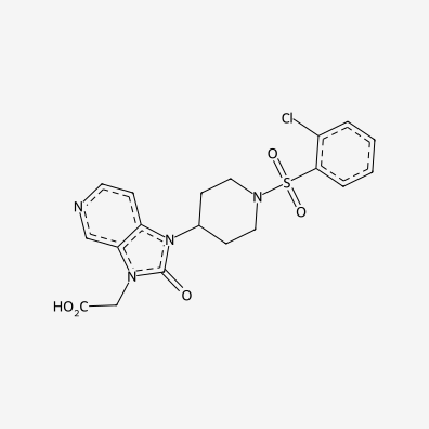 O=C(O)Cn1c(=O)n(C2CCN(S(=O)(=O)c3ccccc3Cl)CC2)c2ccncc21